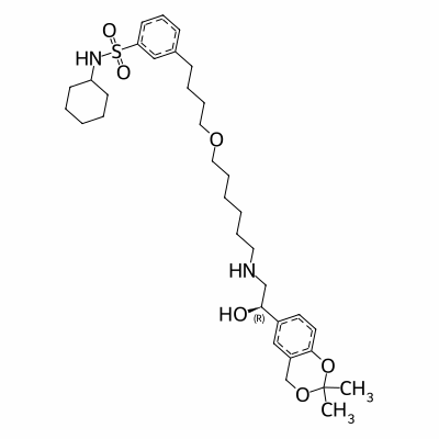 CC1(C)OCc2cc([C@@H](O)CNCCCCCCOCCCCc3cccc(S(=O)(=O)NC4CCCCC4)c3)ccc2O1